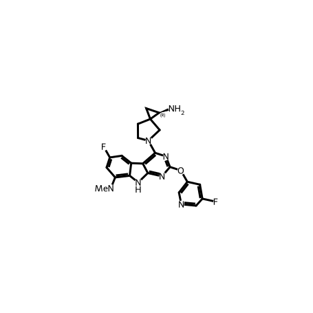 CNc1cc(F)cc2c1[nH]c1nc(Oc3cncc(F)c3)nc(N3CCC4(C[C@H]4N)C3)c12